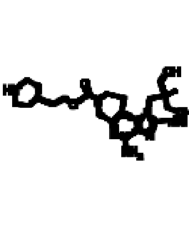 CCCCc1nc2c(N)nc3c(c2n1CC(C)(CO)CO)CCN(C(=O)OCCC1CCNCC1)C3